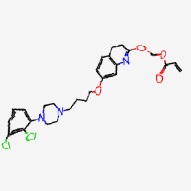 C=CC(=O)OCOC1=Nc2cc(OCCCCN3CCN(c4cccc(Cl)c4Cl)CC3)ccc2CC1